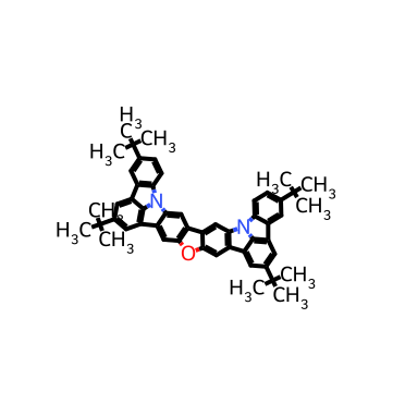 CC(C)(C)c1ccc2c(c1)c1cc(C(C)(C)C)cc3c4cc5oc6cc7c8cc(C(C)(C)C)cc9c%10cc(C(C)(C)C)ccc%10n(c7cc6c5cc4n2c13)c98